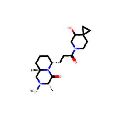 C[C@H]1C(=O)N2[C@@H](CCC(=O)N3CCC4(CC4)C(O)C3)CCC[C@H]2CN1C(=O)O